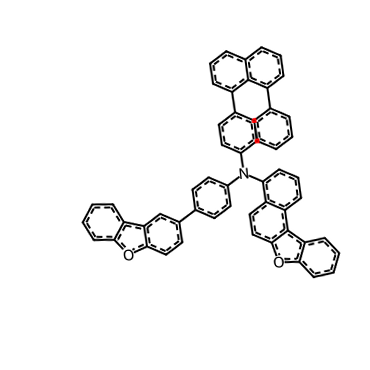 c1ccc(-c2cccc3cccc(-c4ccc(N(c5ccc(-c6ccc7oc8ccccc8c7c6)cc5)c5cccc6c5ccc5oc7ccccc7c56)cc4)c23)cc1